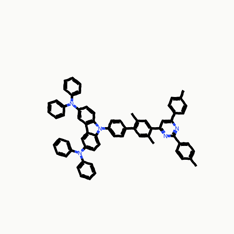 Cc1ccc(-c2cc(-c3cc(C)c(-c4ccc(-n5c6ccc(N(c7ccccc7)c7ccccc7)cc6c6cc(N(c7ccccc7)c7ccccc7)ccc65)cc4)cc3C)nc(-c3ccc(C)cc3)n2)cc1